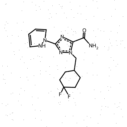 NC(=O)c1nc(N2C=CC=CN2)nn1CC1CCC(F)(F)CC1